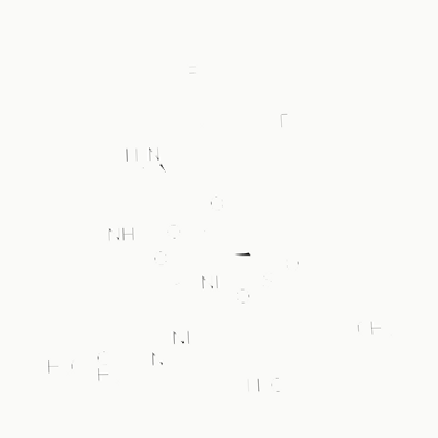 CCCC(CCC)S(=O)(=O)C[C@@H](NC(=O)c1cc(C)n[nH]1)C(=O)O[C@H](CNCc1cccc(CC)c1)[C@@H](N)Cc1cc(F)cc(F)c1